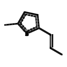 CC=Cc1ccc(C)s1